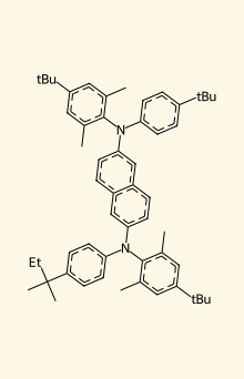 CCC(C)(C)c1ccc(N(c2ccc3cc(N(c4ccc(C(C)(C)C)cc4)c4c(C)cc(C(C)(C)C)cc4C)ccc3c2)c2c(C)cc(C(C)(C)C)cc2C)cc1